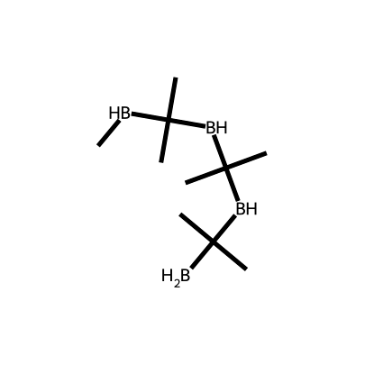 BC(C)(C)BC(C)(C)BC(C)(C)BC